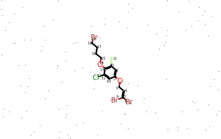 Fc1cc(OCC=C(Br)Br)cc(Cl)c1OCCCCBr